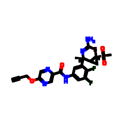 C#CCOc1cnc(C(=O)Nc2cc(F)c(F)c([C@@]3(C)N=C(N)S[C@@]4(S(C)(=O)=O)CC43)c2)cn1